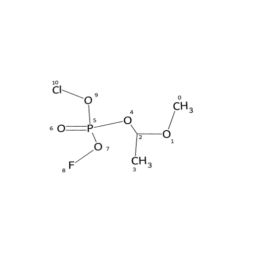 COC(C)OP(=O)(OF)OCl